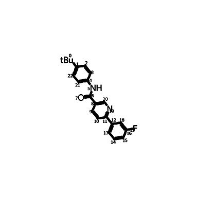 CC(C)(C)c1ccc(NC(=O)c2ccc(-c3cccc(F)c3)nc2)cc1